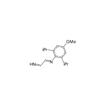 COc1cc(C(C)C)c(/N=C/C=N)c(C(C)C)c1